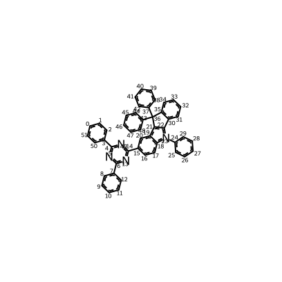 c1ccc(-c2nc(-c3ccccc3)nc(-c3ccc4c(c3)c3c(n4-c4ccccc4)-c4ccccc4C3(c3ccccc3)c3ccccc3)n2)cc1